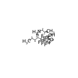 C=CCN.CCCC(F)C(F)(F)C(F)(F)C(F)(F)S(=O)(=O)O